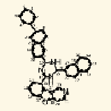 c1ccc(-c2ccc3cc(C4N=C(c5cccc6oc7ccncc7c56)NC(c5ccc6ccccc6c5)N4)ccc3c2)cc1